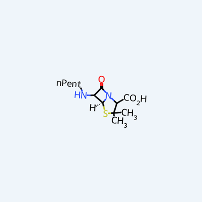 CCCCCNC1C(=O)N2C(C(=O)O)C(C)(C)S[C@@H]12